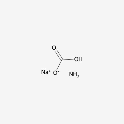 N.O=C([O-])O.[Na+]